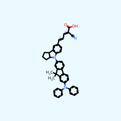 CC1(C)c2cc(N(c3ccccc3)c3ccccc3)ccc2-c2ccc(N3c4ccc(/C=C/C=C(\C#N)C(=O)O)cc4C4CCCC43)cc21